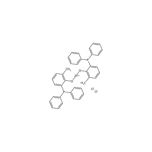 Cc1cccc(P(c2ccccc2)c2ccccc2)c1[O][Zr+2][O]c1c(C)cccc1P(c1ccccc1)c1ccccc1.[Cl-].[Cl-]